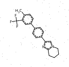 Cc1ccc(-c2ccc(-c3cn4c(n3)CCCC4)cc2)cc1C(F)(F)F